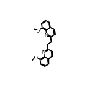 COc1cccc2ccc(CCc3ccc4cccc(OC)c4n3)nc12